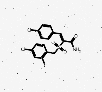 NC(=O)C(=Cc1ccc(Cl)cc1)S(=O)(=O)Cc1ccc(Cl)cc1Cl